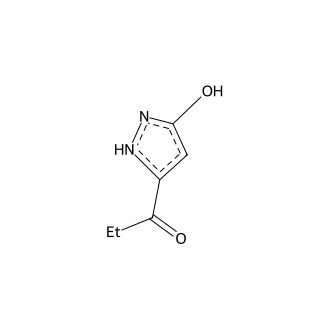 CCC(=O)c1cc(O)n[nH]1